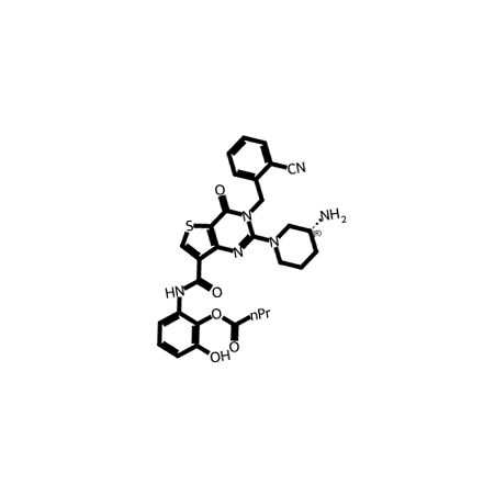 CCCC(=O)Oc1c(O)cccc1NC(=O)c1csc2c(=O)n(Cc3ccccc3C#N)c(N3CCC[C@@H](N)C3)nc12